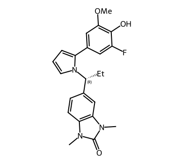 CC[C@H](c1ccc2c(c1)n(C)c(=O)n2C)n1cccc1-c1cc(F)c(O)c(OC)c1